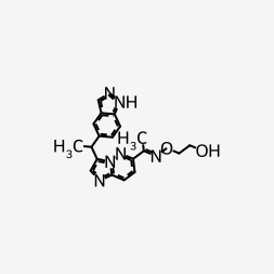 C/C(=N\OCCO)c1ccc2ncc(C(C)c3ccc4[nH]ncc4c3)n2n1